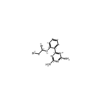 Nc1nc(N)nc(-c2ccccc2OC(Br)CBr)n1